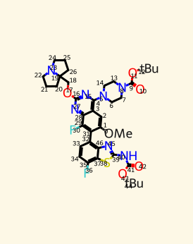 COc1cc2c(N3CCN(C(=O)OC(C)(C)C)CC3)nc(OCC34CCCN3CCC4)nc2c(F)c1-c1ccc(F)c2sc(NC(=O)OC(C)(C)C)nc12